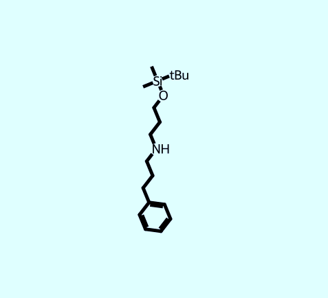 CC(C)(C)[Si](C)(C)OCCCNCCCc1ccccc1